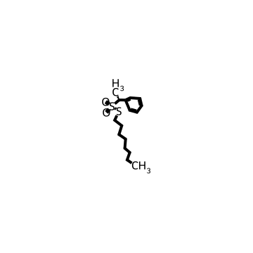 CCCCCCCCSS(=O)(=O)[C@@H](C)c1ccccc1